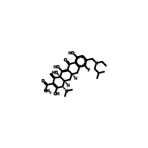 C=C1C(C(N)=O)=C(O)[C@@H](N(C)C)[C@@H]2C[C@@H]3Cc4c(F)c(CN(CC)CC(C)C)cc(O)c4C(=O)C3=C(O)[C@]12O